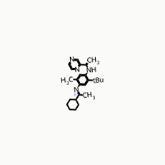 C=C(Nc1cc(C)c(/N=C(\C)C2CCCCC2)cc1C(C)(C)C)c1cnccn1